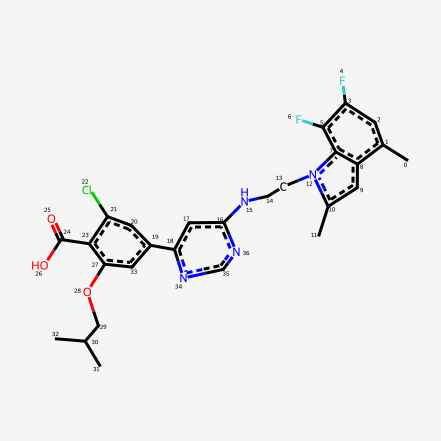 Cc1cc(F)c(F)c2c1cc(C)n2CCNc1cc(-c2cc(Cl)c(C(=O)O)c(OCC(C)C)c2)ncn1